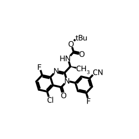 C[C@H](NC(=O)OC(C)(C)C)c1nc2c(F)ccc(Cl)c2c(=O)n1-c1cc(F)cc(C#N)c1